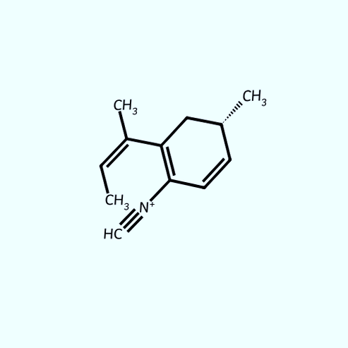 C#[N+]C1=C(/C(C)=C\C)C[C@H](C)C=C1